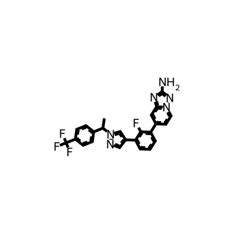 CC(c1ccc(C(F)(F)F)cc1)n1cc(-c2cccc(-c3ccn4nc(N)nc4c3)c2F)cn1